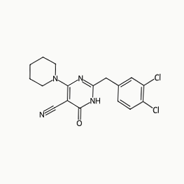 N#Cc1c(N2CCCCC2)nc(Cc2ccc(Cl)c(Cl)c2)[nH]c1=O